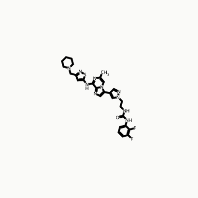 Cc1cn2c(-c3cnn(CCNC(=O)Nc4cccc(F)c4F)c3)cnc2c(Nc2cc(CN3CCCCC3)ns2)n1